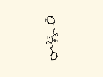 O=C(/C=C/c1ccccc1)NNC(=O)/C=C/c1cccnc1